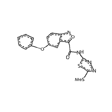 CSc1nnc(NC(=O)c2onc3ccc(Oc4ccccc4)cc23)s1